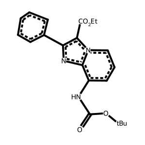 CCOC(=O)c1c(-c2ccccc2)nc2c(NC(=O)OC(C)(C)C)cccn12